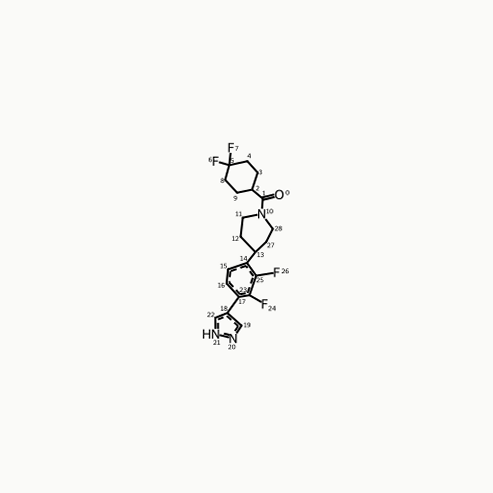 O=C(C1CCC(F)(F)CC1)N1CCC(c2ccc(-c3cn[nH]c3)c(F)c2F)CC1